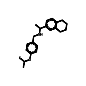 CC(F)Oc1ccc(CNC(C)c2ccc3c(c2)CCCC3)cc1